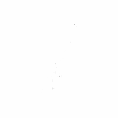 C[C@]12CC[C@H](O)C[C@H]1CC[C@@H]1[C@@H]2CC[C@]2(C)[C@@H](/C=C/C=C/C=N/OCCN)CC[C@@H]12